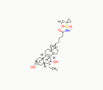 CC[C@H]1[C@@H](O)[C@@H]2[C@H](CC[C@]3(C)[C@@H](CCCCC(=O)NS(=O)(=O)C4(C)CC4)CC[C@@H]23)[C@@]2(C)CC[C@@H](O)C[C@@H]12